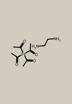 C[C](=O)[Fe]([C](C)=O)([C](C)=O)[C](C)=O.NCCN